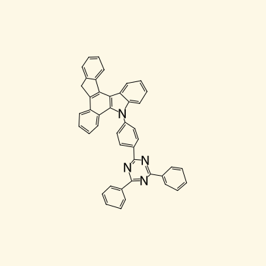 c1ccc(-c2nc(-c3ccccc3)nc(-c3ccc(-n4c5ccccc5c5c6c(c7ccccc7c54)Cc4ccccc4-6)cc3)n2)cc1